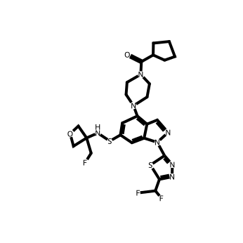 O=C(C1CCCC1)N1CCN(c2cc(SNC3(CF)COC3)cc3c2cnn3-c2nnc(C(F)F)s2)CC1